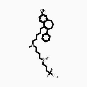 CN(CCCCCC1=C(c2ccccc2)CCCc2cc(O)ccc21)CCCC[S@+]([O-])CCCC(F)(F)C(F)(F)F